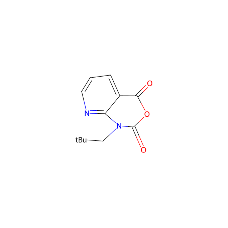 CC(C)(C)Cn1c(=O)oc(=O)c2cccnc21